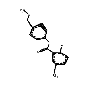 O=C(Oc1c#cc(CO[N+](=O)[O-])cc1)c1cc(C(F)(F)F)ccc1Cl